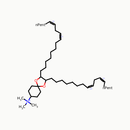 CCCCC/C=C\C/C=C\CCCCCCCC1OC2(CCC([N+](C)(C)C)CC2)OC1CCCCCCC/C=C\C/C=C\CCCCC